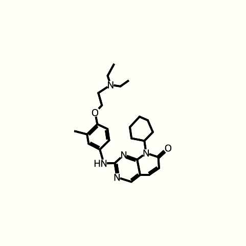 CCN(CC)CCOc1ccc(Nc2ncc3ccc(=O)n(C4CCCCC4)c3n2)cc1C